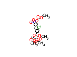 CCOC(=O)COc1ccc(Cc2cc([C@@H]3OC4(CC4)[C@@H](OC(C)=O)[C@H](OC(C)=O)[C@H]3OC(C)=O)ccc2Cl)cc1[N+](=O)[O-]